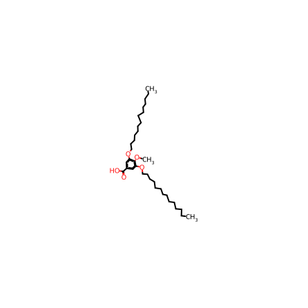 CCCCCCCCCCCCCCOc1cc(C(=O)O)cc(OCCCCCCCCCCCCCC)c1OC